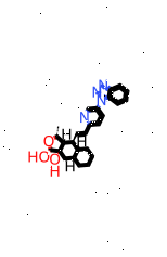 C[C@H]1OC(O)[C@]2(O)C[C@@H]3CCCC[C@H]3[C@H](/C=C/c3ccc(-n4nnc5ccccc54)cn3)[C@H]12